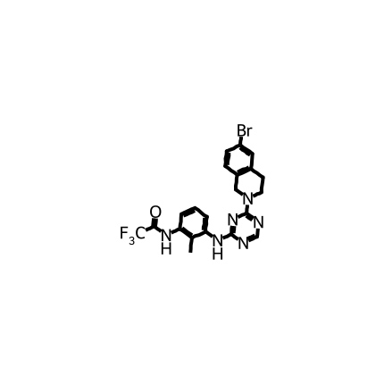 Cc1c(NC(=O)C(F)(F)F)cccc1Nc1ncnc(N2CCc3cc(Br)ccc3C2)n1